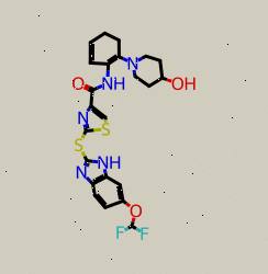 O=C(NC1=C(N2CCC(O)CC2)CCC=C1)c1csc(Sc2nc3ccc(OC(F)F)cc3[nH]2)n1